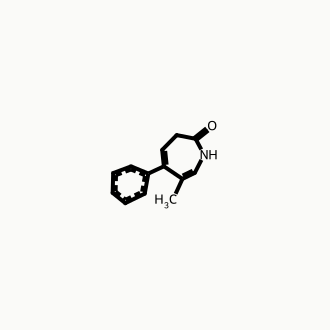 CC1=CNC(=O)CC=C1c1ccccc1